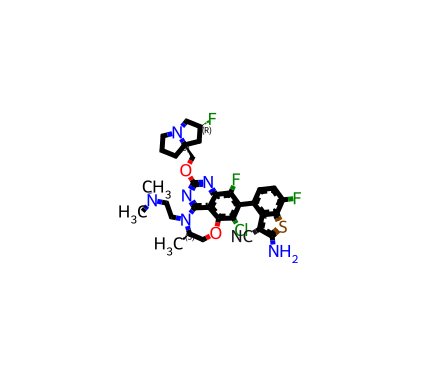 C[C@H]1COc2c(Cl)c(-c3ccc(F)c4sc(N)c(C#N)c34)c(F)c3nc(OC[C@@]45CCCN4C[C@H](F)C5)nc(c23)N1CCN(C)C